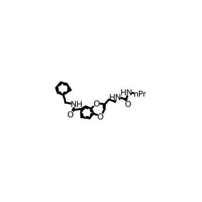 CCCNC(=O)NCCC1=COc2ccc(C(=O)NCc3ccccc3)cc2O1